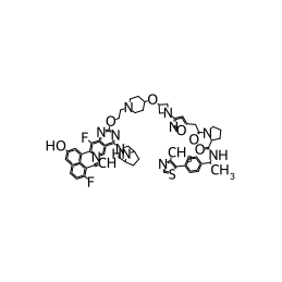 C#Cc1c(F)ccc2cc(O)cc(-c3ncc4c(N5CC6CCC(C5)N6)nc(OCCN5CCC(OC6CN(c7cc(CC(=O)N8CCCC8C(=O)NC(C)c8ccc(-c9scnc9C)cc8)on7)C6)CC5)nc4c3F)c12